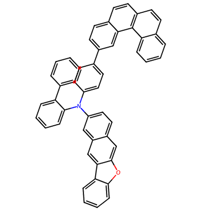 c1ccc(-c2ccccc2N(c2ccc(-c3ccc4ccc5ccc6ccccc6c5c4c3)cc2)c2ccc3cc4oc5ccccc5c4cc3c2)cc1